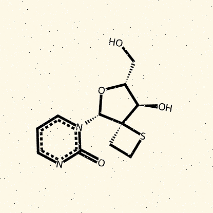 O=c1ncccn1[C@@H]1O[C@H](CO)[C@@H](O)[C@]12CCS2